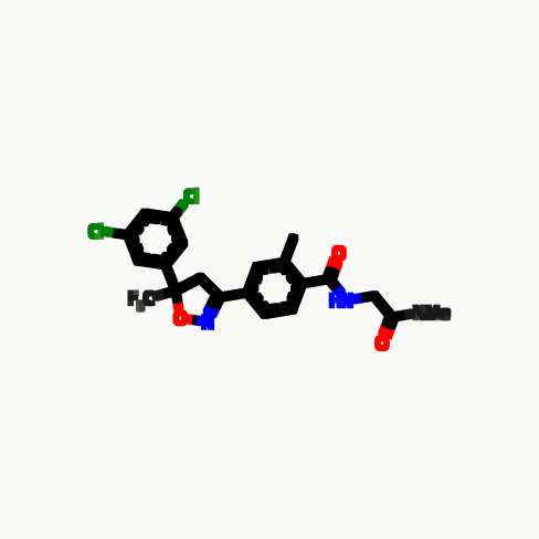 CNC(=O)CNC(=O)c1ccc(C2=NOC(c3cc(Cl)cc(Cl)c3)(C(F)(F)F)C2)cc1C